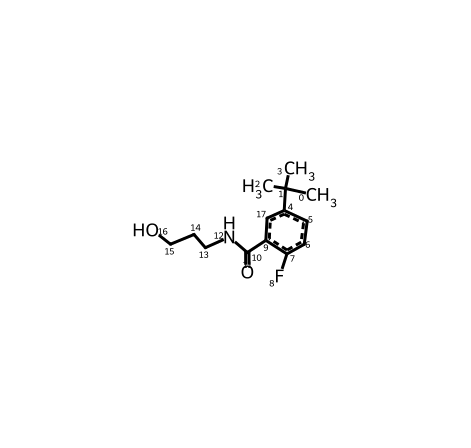 CC(C)(C)c1ccc(F)c(C(=O)NCCCO)c1